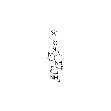 Cc1cn(COCC[Si](C)(C)C)c2nccc(Nc3ccc(N)cc3F)c12